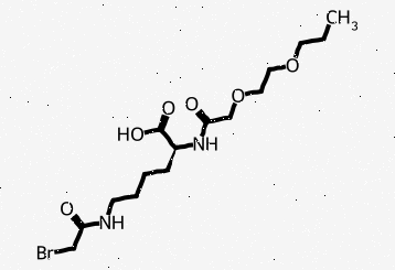 CCCOCCOCC(=O)N[C@@H](CCCCNC(=O)CBr)C(=O)O